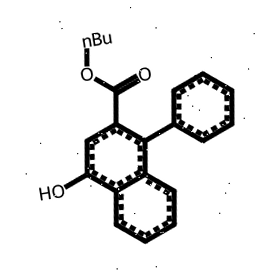 CCCCOC(=O)c1cc(O)c2ccccc2c1-c1ccccc1